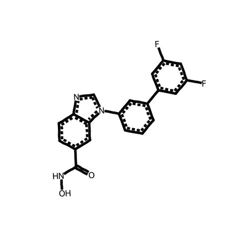 O=C(NO)c1ccc2ncn(-c3cccc(-c4cc(F)cc(F)c4)c3)c2c1